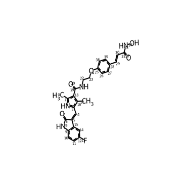 Cc1[nH]c(/C=C2\C(=O)Nc3ccc(F)cc32)c(C)c1C(=O)NCCOc1ccc(/C=C/C(=O)NO)cc1